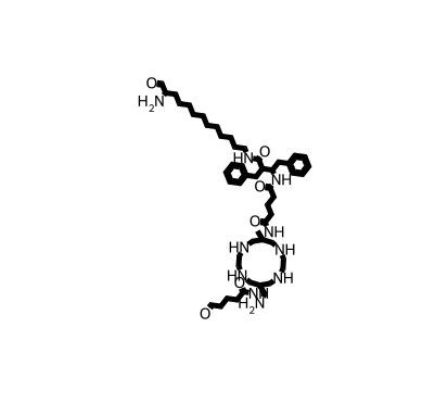 CC1(NC(=O)CCCC(=O)NC(Cc2ccccc2)C(Cc2ccccc2)C(=O)NCCCCCCCCCCCC(N)C=O)CNCCNCC(CN)(NC(=O)CCCC=O)CNCCNC1